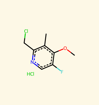 COc1c(F)cnc(CCl)c1C.Cl